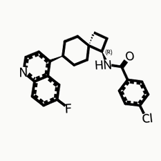 O=C(N[C@@H]1CC[C@]12CC[C@H](c1ccnc3ccc(F)cc31)CC2)c1ccc(Cl)cc1